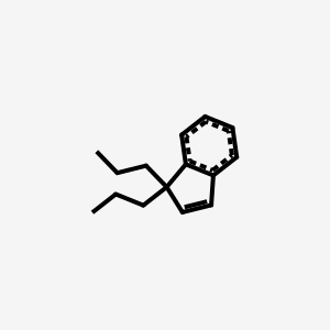 CCCC1(CCC)C=Cc2ccccc21